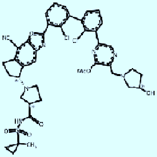 COc1nc(-c2cccc(-c3cccc(-c4nc5cc6c(c(C#N)c5o4)CC[C@H]6N4CC[C@@H](C(=O)NS(=O)(=O)C5(C)CC5)C4)c3Cl)c2Cl)cnc1CN1CC[C@@H](O)C1